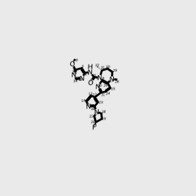 COc1cc(NC(=O)N2c3nc(-c4ccnc(N5CC[C@@H](F)C5)c4)ccc3N(C)CC[C@H]2C)ncn1